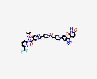 CC(C)Oc1cc2nc(C3CCN(C(=O)CC4CCN(c5ccc6c([C@H]7CCC(=O)NC7=O)nn(C)c6c5)CC4)CC3)cn2cc1C(=O)Nc1cccc(C(F)F)n1